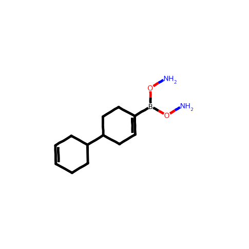 NOB(ON)C1=CCC(C2CC=CCC2)CC1